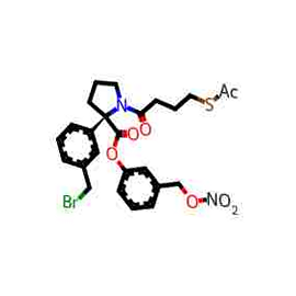 CC(=O)SCCCC(=O)N1CCC[C@]1(C(=O)Oc1cccc(CO[N+](=O)[O-])c1)c1cccc(CBr)c1